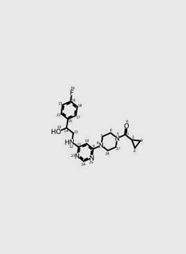 O=C(C1CC1)N1CCN(c2cc(NCC(O)c3ccc(F)cc3)ncn2)CC1